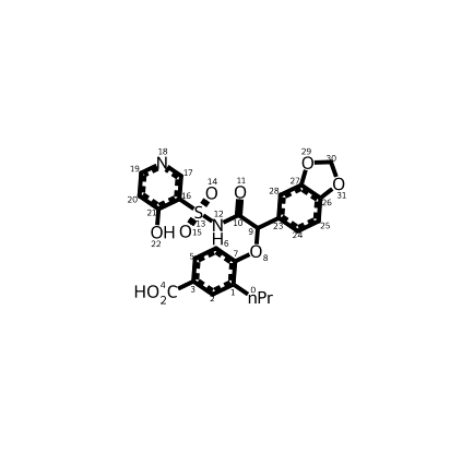 CCCc1cc(C(=O)O)ccc1OC(C(=O)NS(=O)(=O)c1cnccc1O)c1ccc2c(c1)OCO2